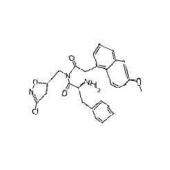 COc1ccc2c(CC(=O)N(CC3CC(Cl)=NO3)C(=O)[C@@H](N)Cc3ccccc3)cccc2c1